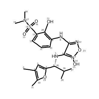 Cc1cc([C@H](Nc2c(Nc3cccc(S(=O)(=O)N(C)C)c3O)no[n+]2O)C(C)C)oc1C